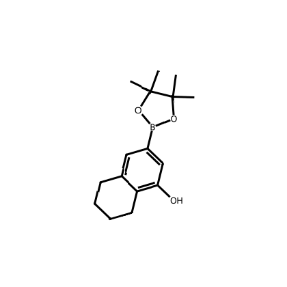 CC1(C)OB(c2cc(O)c3c(c2)CCCC3)OC1(C)C